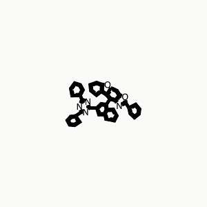 c1ccc(-c2nc(-c3ccccc3)nc(-c3cc(-c4c5nc(-c6ccccc6)oc5cc5oc6ccccc6c45)c4ccccc4c3)n2)cc1